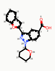 O=C(O)c1ccc2c(c1)c(-c1cc3ccccc3o1)nn2C1CCCCO1